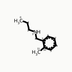 CC[CH]NCc1ccccc1C